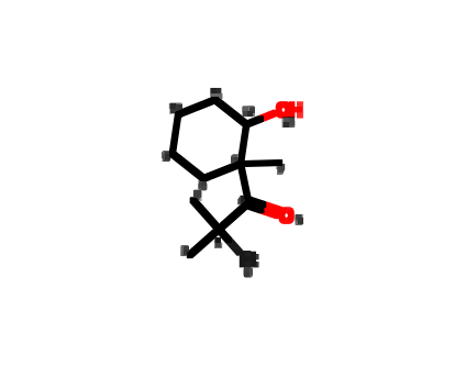 CCC(C)(C)C(=O)C1(C)CCCCC1O